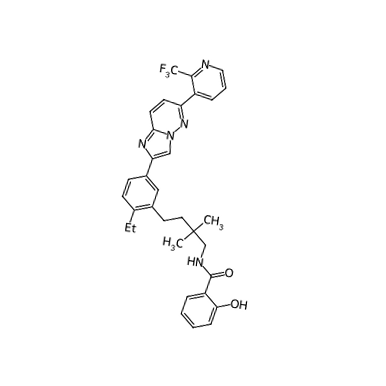 CCc1ccc(-c2cn3nc(-c4cccnc4C(F)(F)F)ccc3n2)cc1CCC(C)(C)CNC(=O)c1ccccc1O